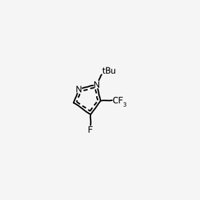 CC(C)(C)n1ncc(F)c1C(F)(F)F